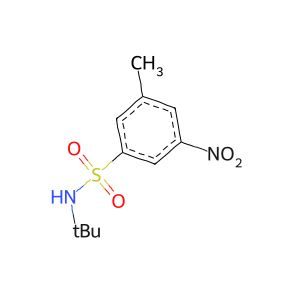 Cc1cc([N+](=O)[O-])cc(S(=O)(=O)NC(C)(C)C)c1